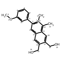 [CH2-][n+]1c(-c2cccc(OC)c2)cc2cc(CO)c(CO)cc2c1C